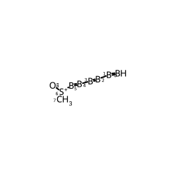 B=BB=BB=B[S+](C)[O-]